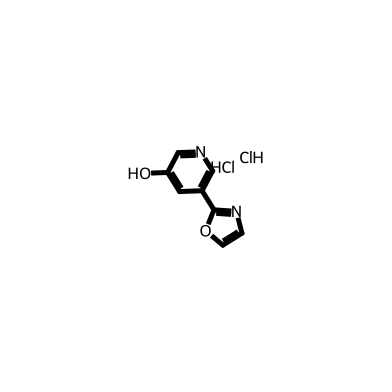 Cl.Cl.Oc1cncc(-c2ncco2)c1